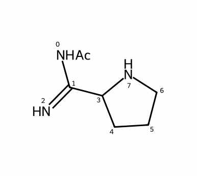 CC(=O)NC(=N)C1CCCN1